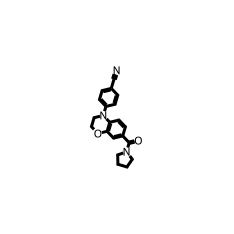 N#Cc1ccc(N2CCOc3cc(C(=O)N4CCCC4)ccc32)cc1